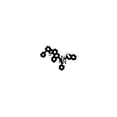 c1ccc(-c2nc(-c3ccc4ccccc4c3)nc(-c3cc4ccc5c6cccc(-c7ccccc7)c6sc5c4c4ccccc34)n2)cc1